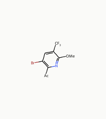 COc1nc(C(C)=O)c(Br)cc1C(F)(F)F